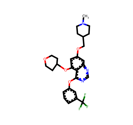 CN1CCC(COc2cc(OC3CCOCC3)c3c(Oc4cccc(C(F)(F)F)c4)ncnc3c2)CC1